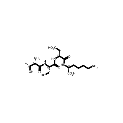 C[C@@H](O)[C@H](N)C(=O)N[C@@H](CO)C(=O)N[C@@H](CC(=O)O)C(=O)N[C@@H](CCCCN)C(=O)O